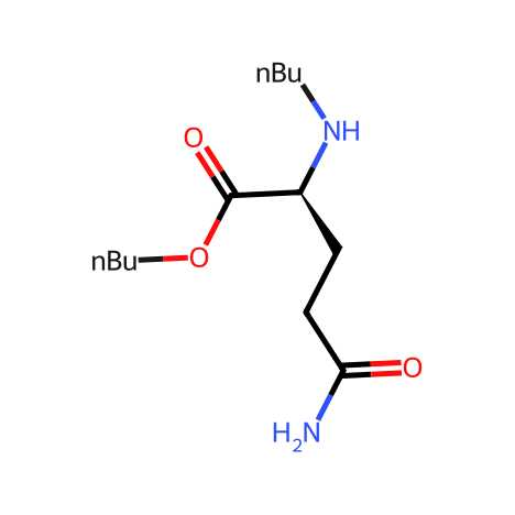 CCCCN[C@@H](CCC(N)=O)C(=O)OCCCC